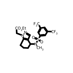 CCOC(=O)Cn1ncc2c1CCCC2N(C)S(=O)(=O)c1cc(C(F)(F)F)cc(C(F)(F)F)c1